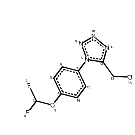 FC(F)Oc1ccc(-n2nnnc2CCl)cc1